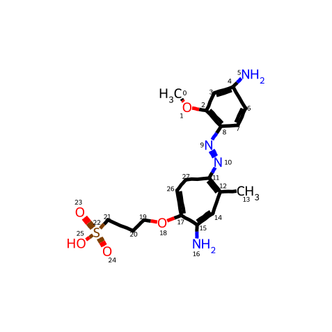 COc1cc(N)ccc1N=NC1=C(C)C=C(N)C(OCCCS(=O)(=O)O)=CC1